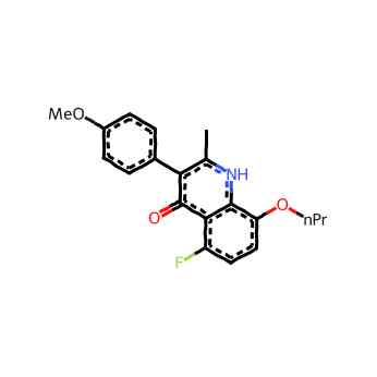 CCCOc1ccc(F)c2c(=O)c(-c3ccc(OC)cc3)c(C)[nH]c12